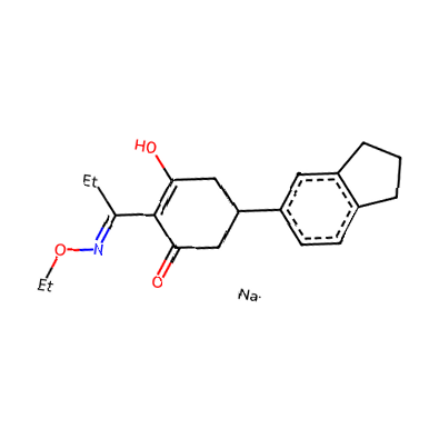 CCON=C(CC)C1=C(O)CC(c2ccc3c(c2)CCC3)CC1=O.[Na]